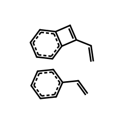 C=CC1=Cc2ccccc21.C=Cc1ccccc1